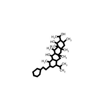 CC(C)C1CC(CCC2CCCCC2)C(C)C2C(O)C3C(C)C4(C)C(O)C(C(C)O)C(C)CC4(C)CC3(C)CC12